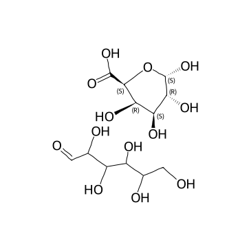 O=C(O)[C@H]1O[C@H](O)[C@H](O)[C@@H](O)[C@H]1O.O=CC(O)C(O)C(O)C(O)CO